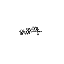 CN(c1cnc(-c2ccc(-c3cc(OC(S)(S)S)ncc3F)cc2O)nn1)[C@@H]1C[C@@]2(C)CCC[C@H](C2)[C@@H]1F